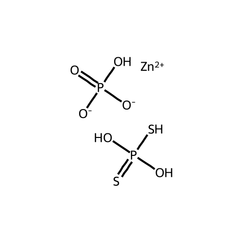 O=P([O-])([O-])O.OP(O)(=S)S.[Zn+2]